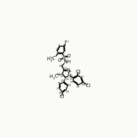 Cc1ccc(F)cc1S(=O)(=O)NCC1=NN(c2ccc(Cl)cc2Cl)[C@@H](c2ccc(Cl)cc2)[C@H]1C